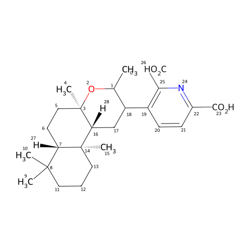 CC1O[C@]2(C)CC[C@H]3C(C)(C)CCC[C@]3(C)[C@H]2CC1c1ccc(C(=O)O)nc1C(=O)O